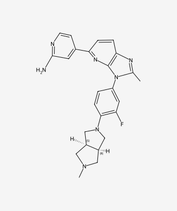 Cc1nc2ccc(-c3ccnc(N)c3)nc2n1-c1ccc(N2C[C@H]3CN(C)C[C@H]3C2)c(F)c1